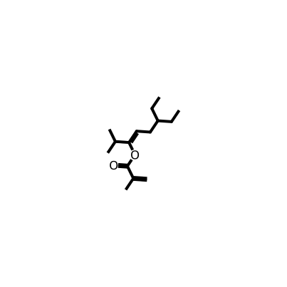 C=C(C)C(=O)O/C(=C\CC(CC)CC)C(C)C